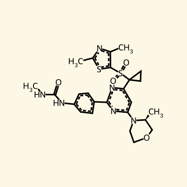 CNC(=O)Nc1ccc(-c2nc(N3CCOC[C@@H]3C)cc(C3(S(=O)(=O)c4sc(C)nc4C)CC3)n2)cc1